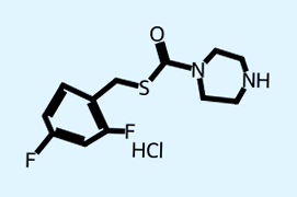 Cl.O=C(SCc1ccc(F)cc1F)N1CCNCC1